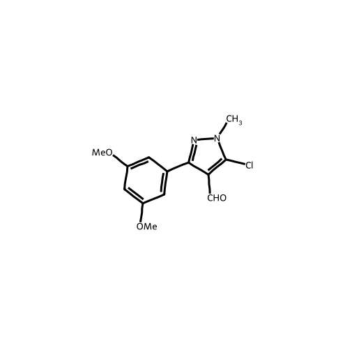 COc1cc(OC)cc(-c2nn(C)c(Cl)c2C=O)c1